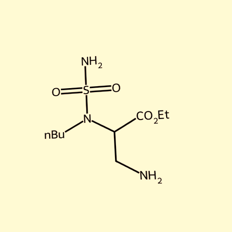 CCCCN(C(CN)C(=O)OCC)S(N)(=O)=O